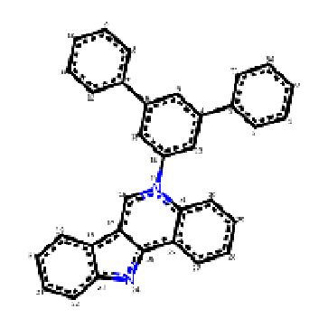 c1ccc(-c2cc(-c3ccccc3)cc(-n3cc4c5ccccc5nc-4c4ccccc43)c2)cc1